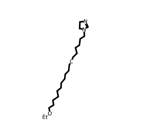 CCOCCCCCCCCCCCCCCCCCCN1C=NCC1